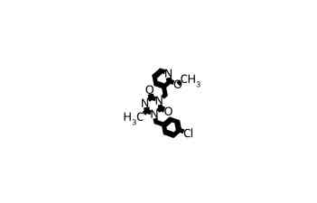 COc1ncccc1Cn1c(=O)nc(C)n(Cc2ccc(Cl)cc2)c1=O